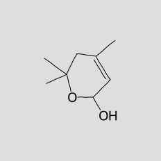 CC1=CC(O)OC(C)(C)C1